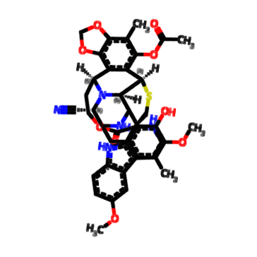 COc1ccc2[nH]c3c(c2c1)CCN[C@]31CS[C@@H]2c3c(OC(C)=O)c(C)c4c(c3[C@H](CCOC1=O)N1[C@@H]2C2NC(Cc3cc(C)c(OC)c(O)c32)[C@@H]1C#N)OCO4